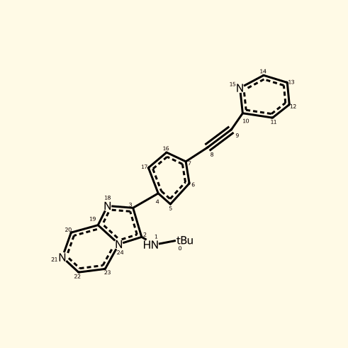 CC(C)(C)Nc1c(-c2ccc(C#Cc3ccccn3)cc2)nc2cnccn12